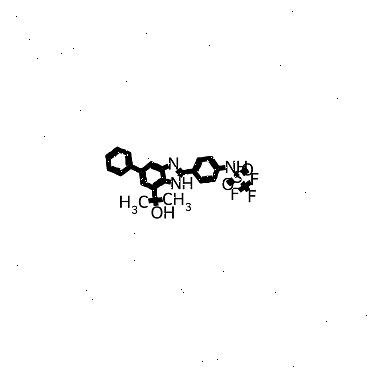 CC(C)(O)c1cc(-c2ccccc2)cc2nc(-c3ccc(NS(=O)(=O)C(F)(F)F)cc3)[nH]c12